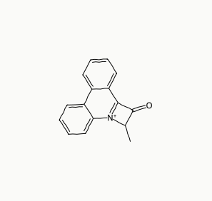 CC1C(=O)c2c3ccccc3c3ccccc3[n+]21